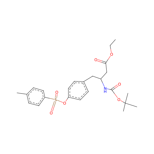 CCOC(=O)CC(Cc1ccc(OS(=O)(=O)c2ccc(C)cc2)cc1)NC(=O)OC(C)(C)C